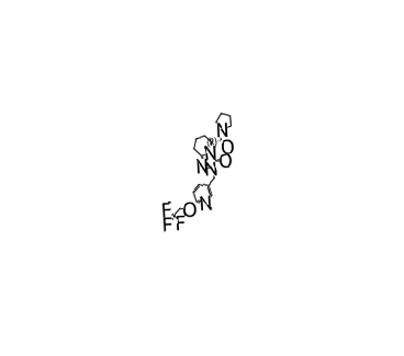 O=C([C@H]1CCCc2nn(Cc3ccc(OCC(F)(F)F)nc3)c(=O)n21)N1CCCC1